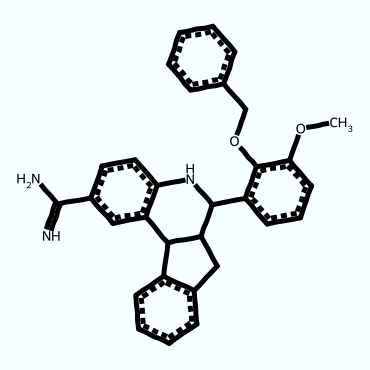 COc1cccc(C2Nc3ccc(C(=N)N)cc3C3c4ccccc4CC23)c1OCc1ccccc1